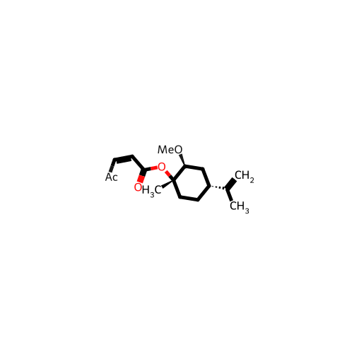 C=C(C)[C@@H]1CC[C@](C)(OC(=O)/C=C\C(C)=O)[C@@H](OC)C1